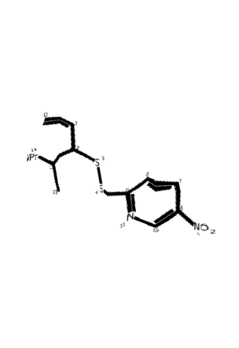 C=CC(SSc1ccc([N+](=O)[O-])cn1)C(C)C(C)C